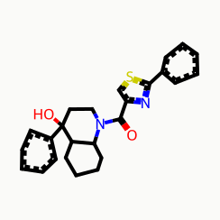 O=C(c1csc(-c2ccccc2)n1)N1CCC(O)(c2ccccc2)C2CCCCC21